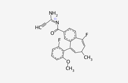 C#C/C(N)=N\C(=O)c1ccc2c(c1)C(c1c(F)cccc1OC)=CC(C)C=C2F